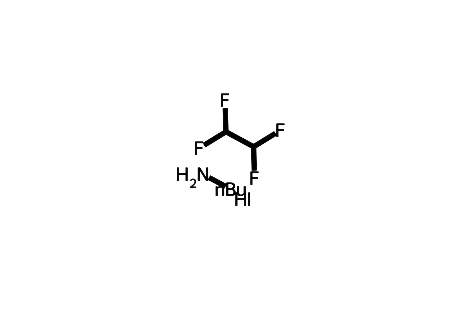 CCCCN.FC(F)C(F)F.I